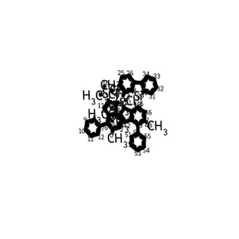 Cc1ccc2c(c1-c1ccccc1)C=C([Si](C)(C)C)[CH]2[Zr]([Cl])([Cl])([c]1cccc2c1[SiH2]c1ccccc1-2)[CH]1C([Si](C)(C)C)=Cc2c1ccc(C)c2-c1ccccc1